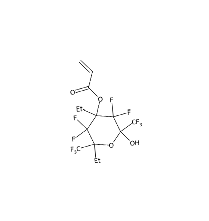 C=CC(=O)OC1(CC)C(F)(F)C(O)(C(F)(F)F)OC(CC)(C(F)(F)F)C1(F)F